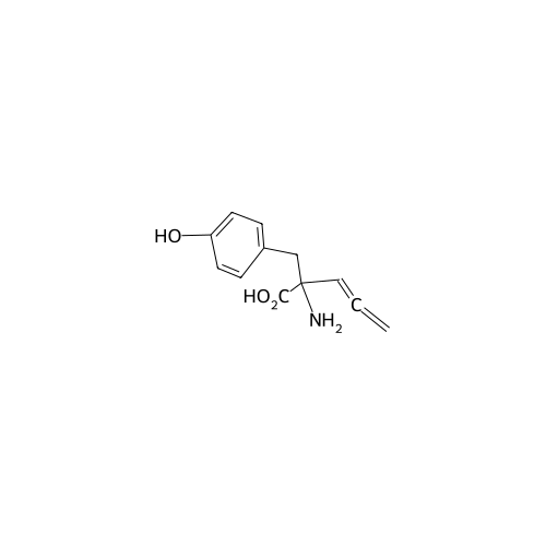 C=C=CC(N)(Cc1ccc(O)cc1)C(=O)O